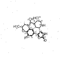 C[C@H]1CN([C@@H](C)C2CCNCC2)c2cc(-c3n[nH]c(=O)o3)cc(F)c2O1.Cl